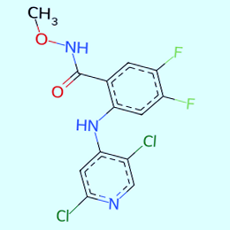 CONC(=O)c1cc(F)c(F)cc1Nc1cc(Cl)ncc1Cl